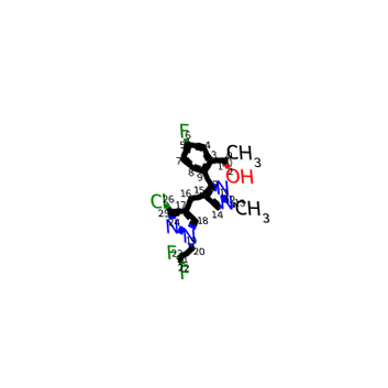 C[C@@H](O)c1cc(F)ccc1-c1nn(C)cc1Cc1cn(CC(F)F)nc1Cl